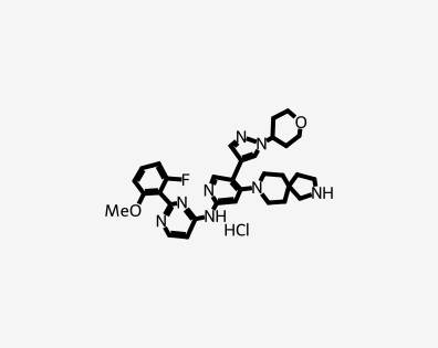 COc1cccc(F)c1-c1nccc(Nc2cc(N3CCC4(CCNC4)CC3)c(-c3cnn(C4CCOCC4)c3)cn2)n1.Cl